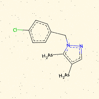 Clc1ccc(Cn2ncc([AsH2])c2[AsH2])cc1